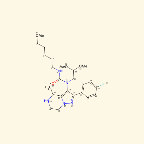 COCCCCCNC(=O)N(CC(OC)OC)c1c(-c2ccc(F)cc2)nn2c1C(C)NCC2